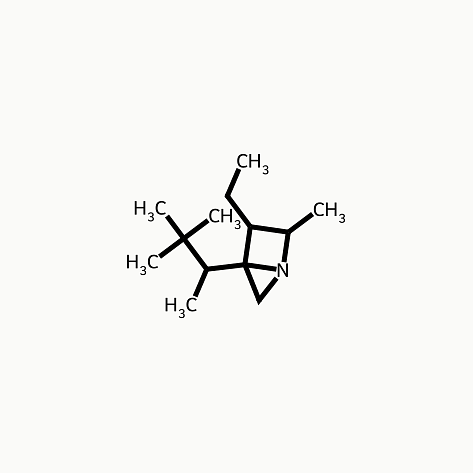 CCC1C(C)N2CC12C(C)C(C)(C)C